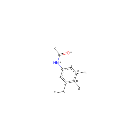 CCc1cc(NC(C)=O)cc(C)c1C